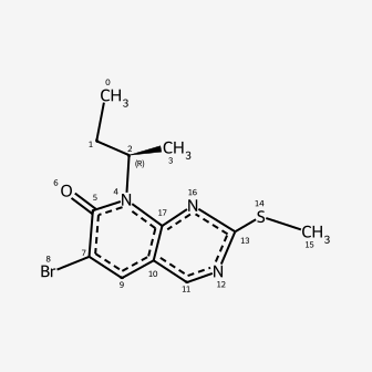 CC[C@@H](C)n1c(=O)c(Br)cc2cnc(SC)nc21